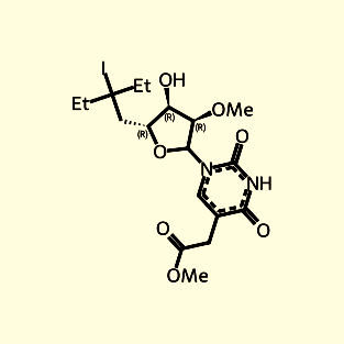 CCC(I)(CC)C[C@H]1OC(n2cc(CC(=O)OC)c(=O)[nH]c2=O)[C@H](OC)[C@@H]1O